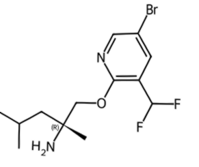 CC(C)C[C@@](C)(N)COc1ncc(Br)cc1C(F)F